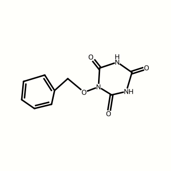 O=c1[nH]c(=O)n(OCc2ccccc2)c(=O)[nH]1